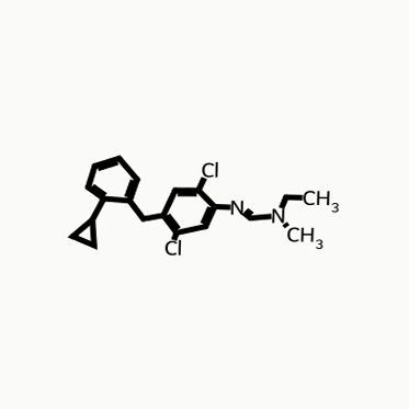 CCN(C)C=Nc1cc(Cl)c(Cc2ccccc2C2CC2)cc1Cl